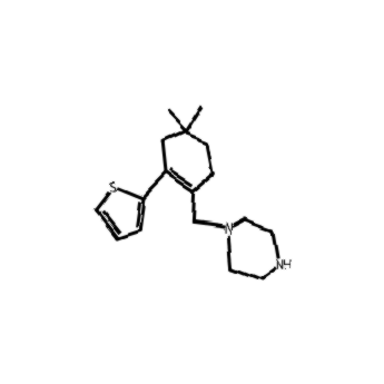 CC1(C)CCC(CN2CCNCC2)=C(c2cccs2)C1